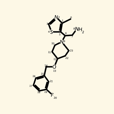 Cc1ncsc1C(CN)N1CCC(OCc2cccc(F)c2)CC1